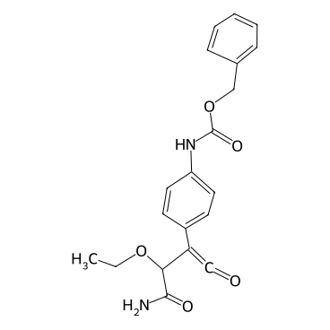 CCOC(C(N)=O)C(=C=O)c1ccc(NC(=O)OCc2ccccc2)cc1